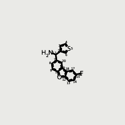 NC(c1ccsc1)c1ccc2oc3ccc(F)cc3c2c1